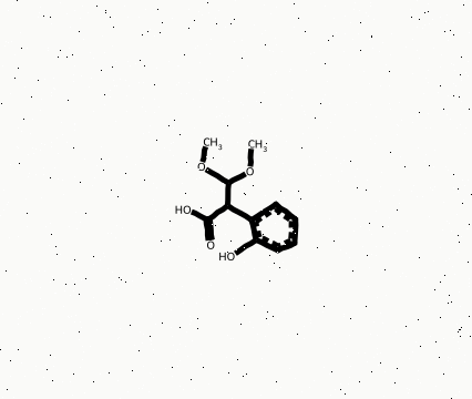 COC(OC)C(C(=O)O)c1ccccc1O